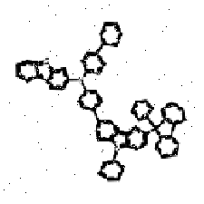 c1ccc(-c2ccc(N(c3ccc(-c4ccc5c(c4)c4cc(C6(c7ccccc7)c7ccccc7-c7ccccc76)ccc4n5-c4ccccc4)cc3)c3ccc4c(c3)sc3ccccc34)cc2)cc1